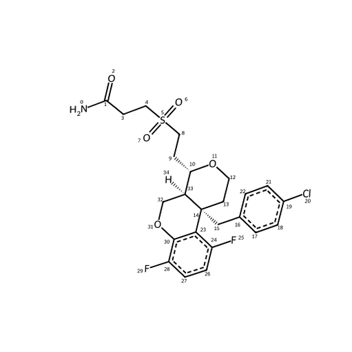 NC(=O)CCS(=O)(=O)CC[C@@H]1OCC[C@@]2(Cc3ccc(Cl)cc3)c3c(F)ccc(F)c3OC[C@@H]12